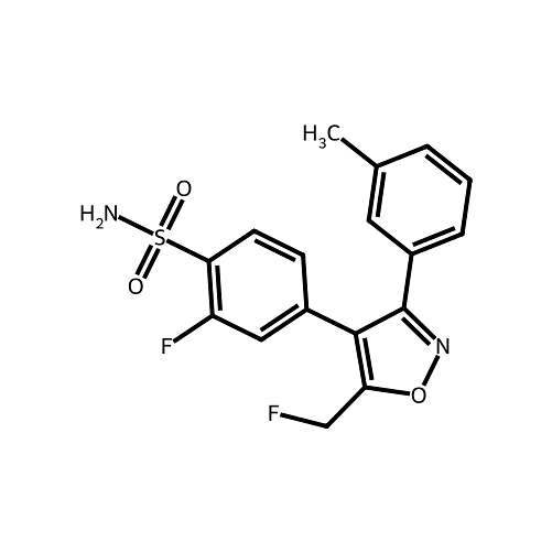 Cc1cccc(-c2noc(CF)c2-c2ccc(S(N)(=O)=O)c(F)c2)c1